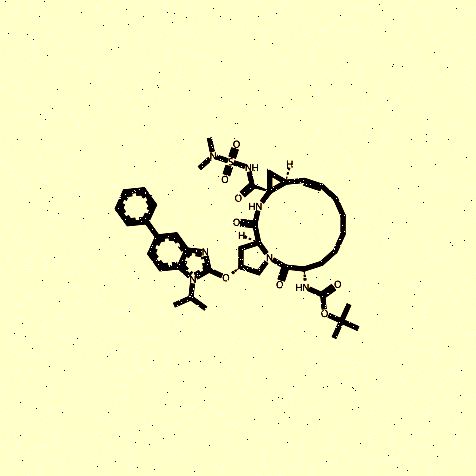 CC(C)n1c(O[C@@H]2C[C@H]3C(=O)N[C@]4(C(=O)NS(=O)(=O)N(C)C)C[C@H]4/C=C\CCCCC[C@H](NC(=O)OC(C)(C)C)C(=O)N3C2)nc2cc(-c3ccccc3)ccc21